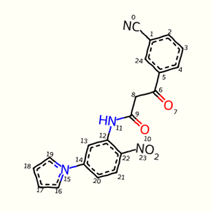 N#Cc1cccc(C(=O)CC(=O)Nc2cc(-n3cccc3)ccc2[N+](=O)[O-])c1